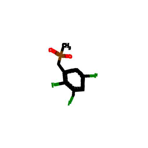 CS(=O)(=O)Cc1cc(F)cc(F)c1F